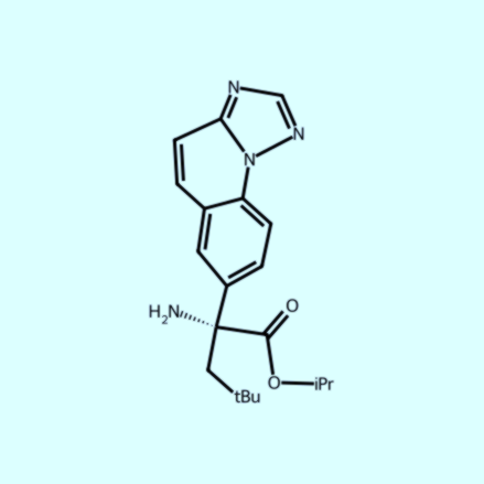 CC(C)OC(=O)[C@@](N)(CC(C)(C)C)c1ccc2c(ccc3ncnn32)c1